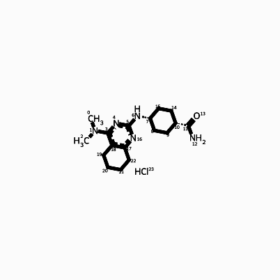 CN(C)c1nc(N[C@H]2CC[C@@H](C(N)=O)CC2)nc2c1CCCC2.Cl